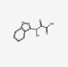 O=C(O)C(=O)N(S)c1snc2ccccc12